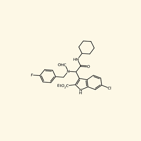 CCOC(=O)c1[nH]c2cc(Cl)ccc2c1C(C(=O)NC1CCCCC1)N(C=O)Cc1ccc(F)cc1